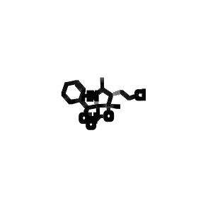 CC1N[C@@]2([C@@H](O)[C@@H]3C=CCCC3)C(=O)O[C@@]2(C)[C@H]1CCCl